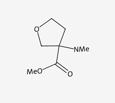 CNC1(C(=O)OC)CCOC1